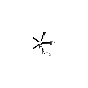 CC(C)[SH](C)(C)(N)C(C)C